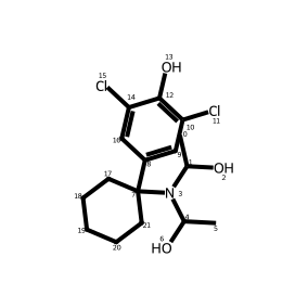 CC(O)N(C(C)O)C1(c2cc(Cl)c(O)c(Cl)c2)CCCCC1